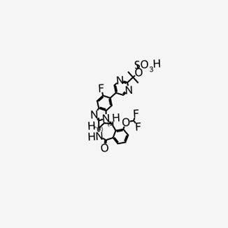 CC(C)(OS(=O)(=O)O)c1ncc(-c2cc3c(cc2F)nc2n3[C@H]3C[C@H]2NC(=O)c2cccc(OC(F)F)c23)cn1